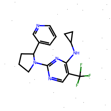 FC(F)(F)c1cnc(N2CCCC2c2cccnc2)nc1NC1CC1